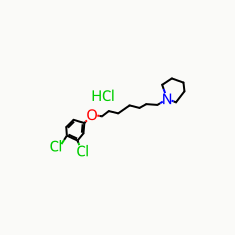 Cl.Clc1ccc(OCCCCCCCN2CCCCC2)cc1Cl